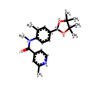 Cc1cc(C(=O)N(C)c2ccc(B3OC(C)(C)C(C)(C)O3)cc2C)ccn1